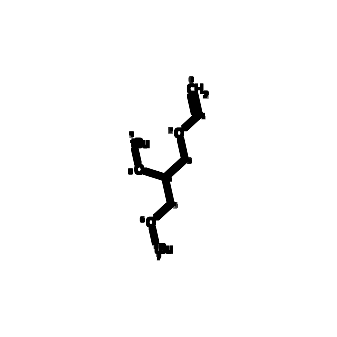 C=COCC(COC(C)(C)C)OC(C)(C)C